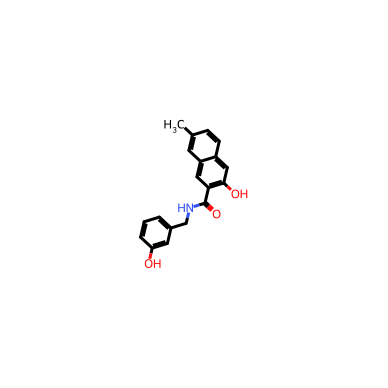 Cc1ccc2cc(O)c(C(=O)NCc3cccc(O)c3)cc2c1